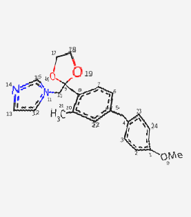 COc1ccc(-c2ccc(C3(Cn4ccnc4)OCCO3)c(C)c2)cc1